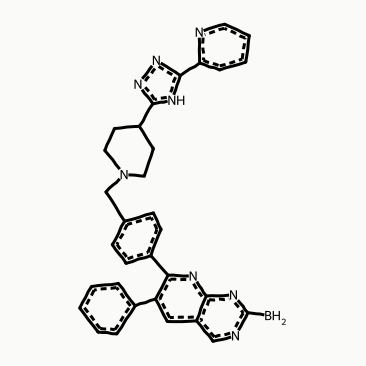 Bc1ncc2cc(-c3ccccc3)c(-c3ccc(CN4CCC(c5nnc(-c6ccccn6)[nH]5)CC4)cc3)nc2n1